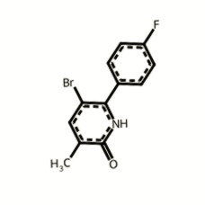 Cc1cc(Br)c(-c2ccc(F)cc2)[nH]c1=O